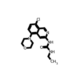 CCNC(=O)Nc1cc2c(N3CCOCC3)ccc(Cl)c2cn1